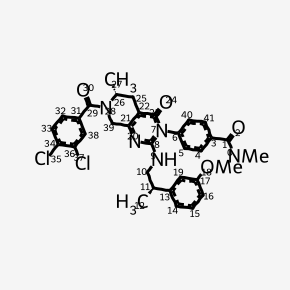 CNC(=O)c1ccc(-n2c(NC[C@H](C)c3cccc(OC)c3)nc3c(c2=O)C[C@@H](C)N(C(=O)c2ccc(Cl)c(Cl)c2)C3)cc1